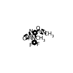 CC(Nc1cc(F)cc(F)c1)c1cc(C(=O)N2CCN(C)CC2)cc2ncc(N3CCOCC3)nc12